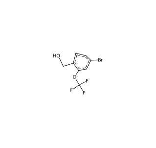 OCc1ccc(Br)cc1OC(F)(F)F